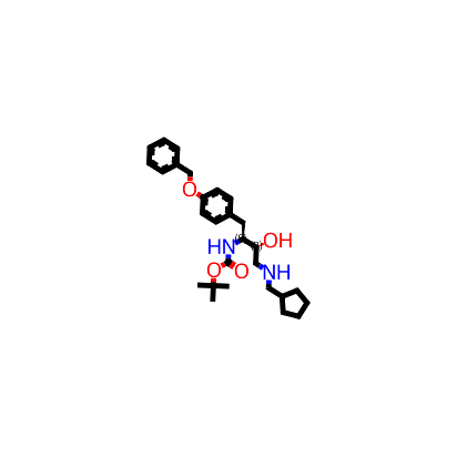 CC(C)(C)OC(=O)N[C@@H](Cc1ccc(OCc2ccccc2)cc1)[C@H](O)CNCC1CCCC1